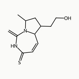 C=C1NC(=S)C=CC2C(CCO)CC(C)N12